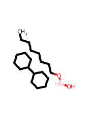 C1CCC(C2CCCCC2)CC1.CCCCCCCCOBO